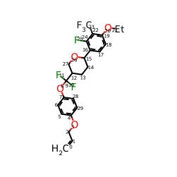 C=CCOc1ccc(OC(F)(F)C2CCC(c3ccc(OCC)c(C(F)(F)F)c3F)OC2)cc1